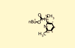 CCCCOC(=O)N(C)c1cccc(C)n1